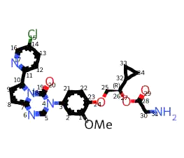 COc1cc(-n2cnc3ccc(-c4ccc(Cl)cn4)n3c2=O)ccc1OC[C@H](OC(=O)CN)C1CC1